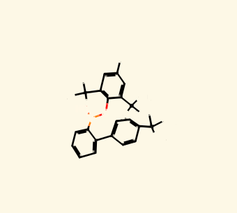 Cc1cc(C(C)(C)C)c(OP(O)c2ccccc2-c2ccc(C(C)(C)C)cc2)c(C(C)(C)C)c1